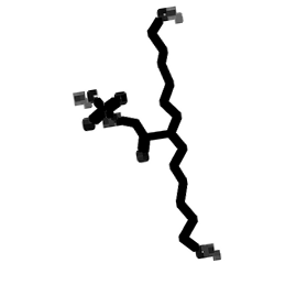 CCCCCCCC(CCCCCCC)C(=O)CNS(C)(=O)=O